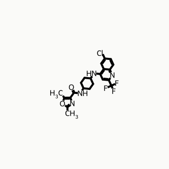 Cc1nc(C(=O)NC2CCC(Nc3cc(C(F)(F)F)nc4ccc(Cl)cc34)CC2)c(C)o1